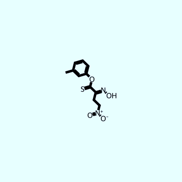 Cc1cccc(OC(=S)C(CC[N+](=O)[O-])=NO)c1